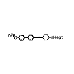 CCCCCCCC1CCC(C#Cc2ccc(-c3ccc(OCCC)cc3)cc2)CC1